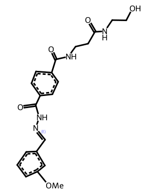 COc1cccc(/C=N/NC(=O)c2ccc(C(=O)NCCC(=O)NCCO)cc2)c1